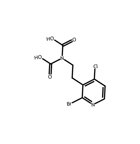 O=C(O)N(CCc1c(Cl)ccnc1Br)C(=O)O